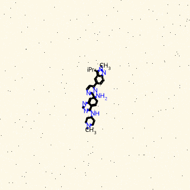 CC(C)c1c2cc(-c3ccnc(C4(N)C=c5ncnc(NC6CCN(C)CC6)c5=CC4)n3)ccc2nn1C